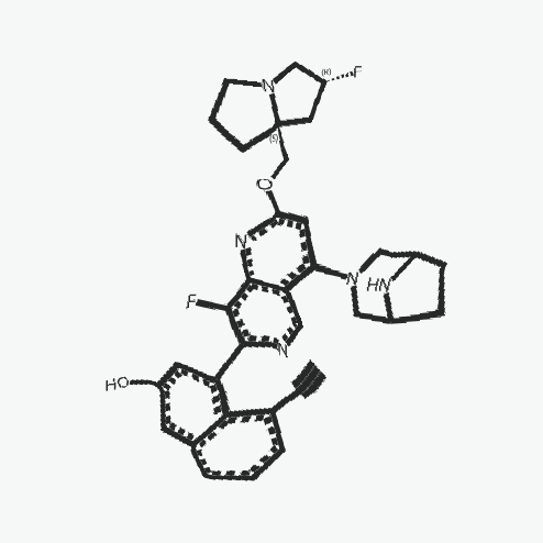 C#Cc1cccc2cc(O)cc(-c3ncc4c(N5CC6CCC(C5)N6)cc(OC[C@@]56CCCN5C[C@H](F)C6)nc4c3F)c12